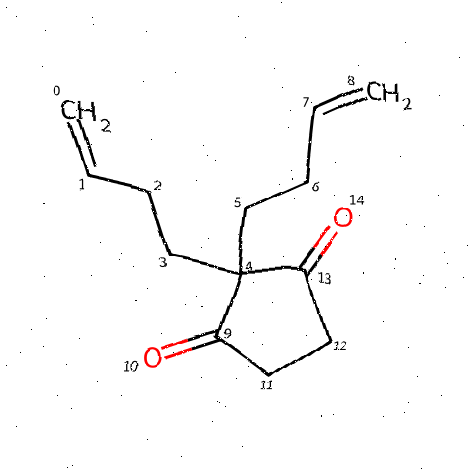 C=CCCC1(CCC=C)C(=O)CCC1=O